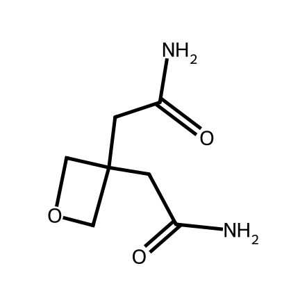 NC(=O)CC1(CC(N)=O)COC1